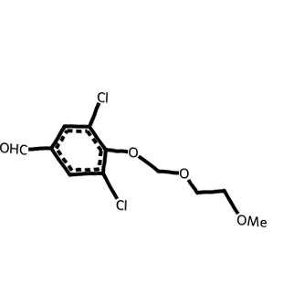 COCCOCOc1c(Cl)cc(C=O)cc1Cl